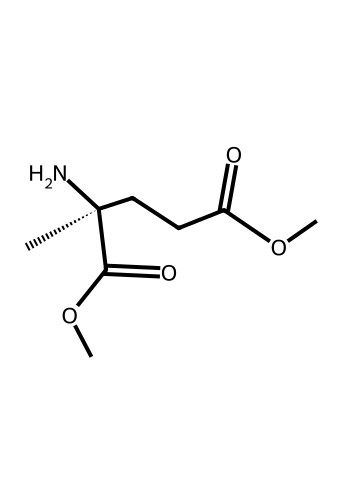 COC(=O)CC[C@](C)(N)C(=O)OC